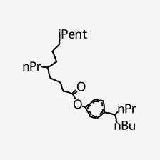 CCCCC(CCC)c1ccc(OC(=O)CCCC(CCC)CCCC(C)CCC)cc1